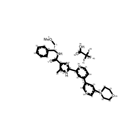 COC[C@H](NC(=O)c1nc(-c2cc(-c3cncc(N4CCOCC4)c3)ccn2)[nH]c1C)c1ccccc1.O=C(O)C(F)(F)F